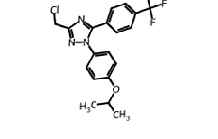 CC(C)Oc1ccc(-n2nc(CCl)nc2-c2ccc(C(F)(F)F)cc2)cc1